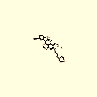 COc1cc2c(C3C(=O)Nc4ccc(C#N)cc43)ncnc2cc1OCCCN1CCOCC1